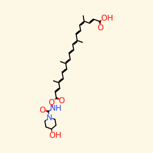 CC(=C/C=C/C(C)=C/C=C/C=C(C)/C=C/C=C(C)/C=C/C(=O)ONC(=O)N1CCC(O)CC1)/C=C/C(=O)O